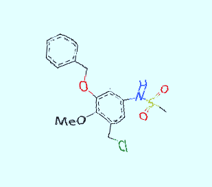 COc1c(OCc2ccccc2)[c]c(NS(C)(=O)=O)cc1CCl